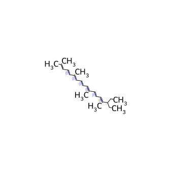 CCC(CC)/C(C)=C/C=C/C(C)=C/C=C/C=C(C)/C=C/C=C(C)C